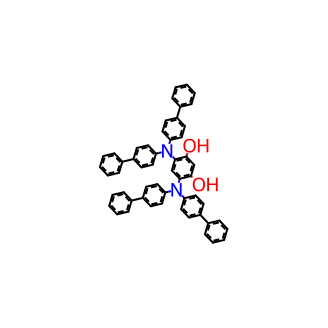 Oc1cc(O)c(N(c2ccc(-c3ccccc3)cc2)c2ccc(-c3ccccc3)cc2)cc1N(c1ccc(-c2ccccc2)cc1)c1ccc(-c2ccccc2)cc1